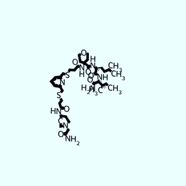 CC[C@H](C)[C@H](NC(=O)[C@H](CCC(C)C)NC(=O)C1(NC(=O)CCSCc2cccc(CSCCC(=O)NC3CCN(CC(N)=O)CC3)n2)CCOCC1)C(N)=O